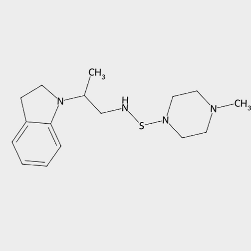 CC(CNSN1CCN(C)CC1)N1CCc2ccccc21